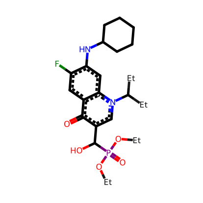 CCOP(=O)(OCC)C(O)c1cn(C(CC)CC)c2cc(NC3CCCCC3)c(F)cc2c1=O